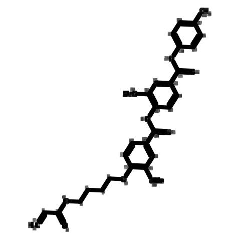 C=CC(=O)OCCCCOc1ccc(C(=O)Oc2ccc(C(=O)Oc3ccc(C)cc3)cc2OC)cc1OC